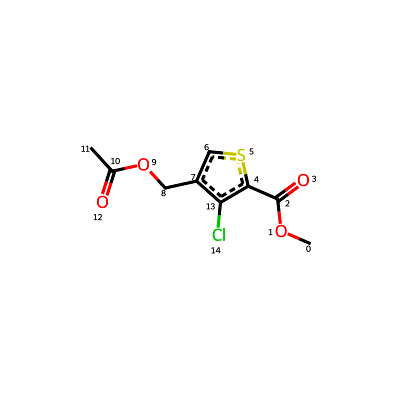 COC(=O)c1scc(COC(C)=O)c1Cl